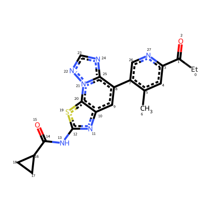 CCC(=O)c1cc(C)c(-c2cc3nc(NC(=O)C4CC4)sc3n3ncnc23)cn1